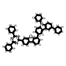 c1ccc(-c2ccc3c(c2)c2cc(-c4cccc5c4oc4cc(-c6nc(-c7ccccc7)nc(-c7ccccc7)n6)ccc45)ccc2n3-c2ccccc2)cc1